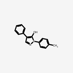 Cc1ccc(-n2ncc(-c3ccccc3)c2O)cc1